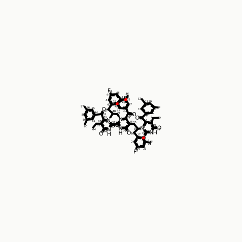 CCc1c(C(=O)c2cc(C)cc(C)c2)n(C(Cc2cc(F)cc(F)c2)Cc2c(C(=O)c3cc(C)cc(C)c3)n(CC(Cc3cc(F)cc(F)c3)n3c(C(=O)c4cc(C)cc(C)c4)c(CC)c(=O)[nH]c3=O)c(=O)[nH]c2=O)c(=O)[nH]c1=O